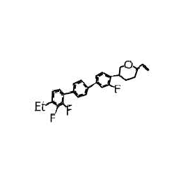 C=CC1CCC(c2ccc(-c3ccc(-c4ccc(CC)c(F)c4F)cc3)cc2F)CO1